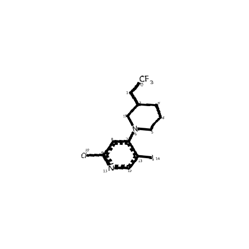 FC(F)(F)CC1CCCN(c2cc(Cl)ncc2I)C1